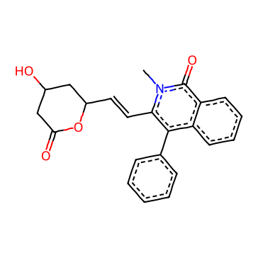 Cn1c(/C=C/C2CC(O)CC(=O)O2)c(-c2ccccc2)c2ccccc2c1=O